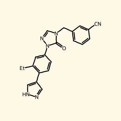 CCc1cc(-n2ncn(Cc3cccc(C#N)c3)c2=O)ccc1-c1cn[nH]c1